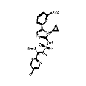 COc1cccc(-c2nnc(NS(=O)(=O)[C@@H](C)[C@@H](OC(C)C)c3ncc(Cl)cn3)n2C2CC2)n1